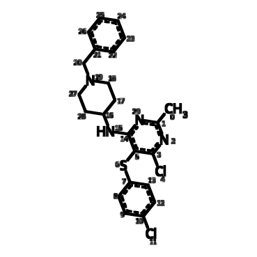 Cc1nc(Cl)c(Sc2ccc(Cl)cc2)c(NC2CCN(Cc3ccccc3)CC2)n1